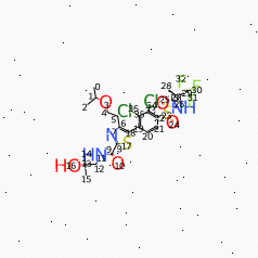 CC(C)OCCc1nc(C(=O)NCC(C)(C)O)sc1-c1ccc(S(=O)(=O)N[C@@H](C)C(F)(F)F)c(Cl)c1Cl